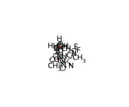 Cc1ccc(C[C@H](NC(=O)OC[C@H]2CCCCN2C(=O)C(C#N)CCC(C)(C)N2CCC(F)(F)C2)B2O[C@@H]3C[C@@H]4C[C@@H](C4(C)C)[C@]3(C)O2)cc1